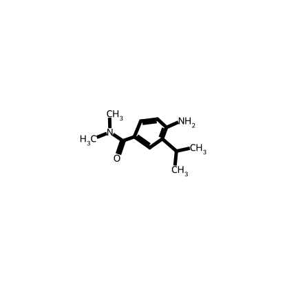 CC(C)c1cc(C(=O)N(C)C)ccc1N